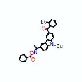 CCCCn1c2ccc(C(=O)c3ccccc3CC)cc2c2cc(C(C)=NOC(=O)c3ccccc3)ccc21